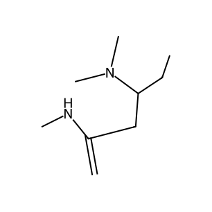 C=C(CC(CC)N(C)C)NC